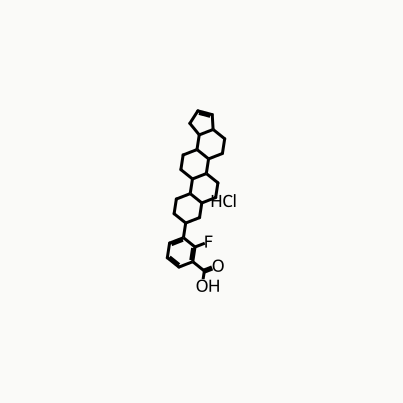 Cl.O=C(O)c1cccc(C2CCC3C(CCC4C3CCC3C5CC=CC5CCC34)C2)c1F